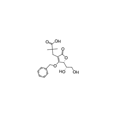 CC(C)(CC1=C(OCc2ccccc2)[C@@H]([C@@H](O)CO)OC1=O)C(=O)O